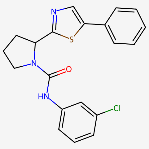 O=C(Nc1cccc(Cl)c1)N1CCCC1c1ncc(-c2ccccc2)s1